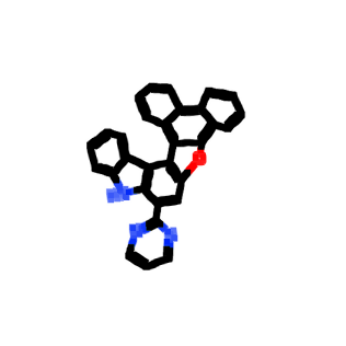 c1cnc(-c2cc3oc4c5ccccc5c5ccccc5c4c3c3c2[nH]c2ccccc23)nc1